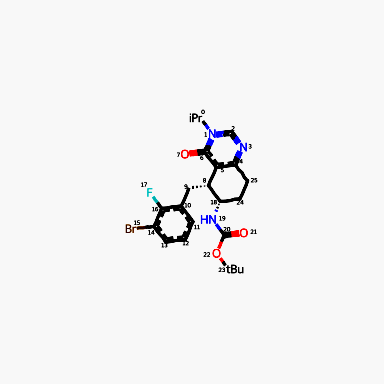 CC(C)n1cnc2c(c1=O)[C@@H](Cc1cccc(Br)c1F)[C@@H](NC(=O)OC(C)(C)C)CC2